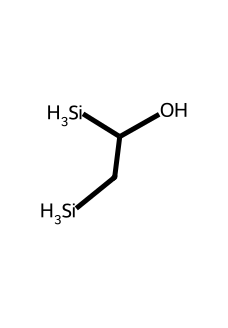 OC([SiH3])C[SiH3]